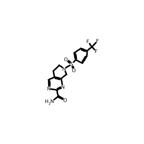 NC(=O)c1n[c]c2c(n1)CN(S(=O)(=O)c1ccc(C(F)(F)F)cc1)CC2